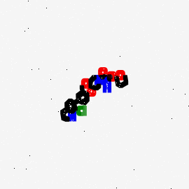 O=C(NOC1CCCCO1)N1CCC2(CC1)OCc1cc(-c3ccc4cccnc4c3Cl)ccc1O2